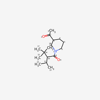 CC(=O)C1CCCN(C(=O)C(C(C)C)C(C)(C)C)C1